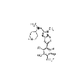 CCc1c(-c2ccc3c(c2)cc(CN(C)C2CCNCC2)n3C)[nH]c(=O)c(C(=O)O)c1O